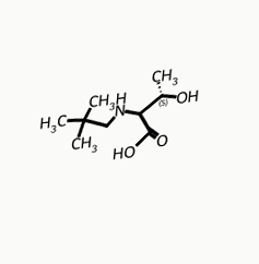 C[C@H](O)C(NCC(C)(C)C)C(=O)O